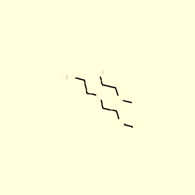 COCCO.COCCOCCO